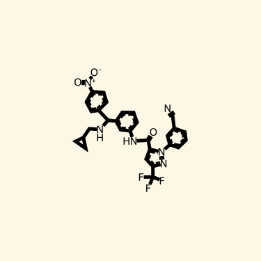 N#Cc1cccc(-n2nc(C(F)(F)F)cc2C(=O)Nc2cccc(C(NCC3CC3)c3ccc([N+](=O)[O-])cc3)c2)c1